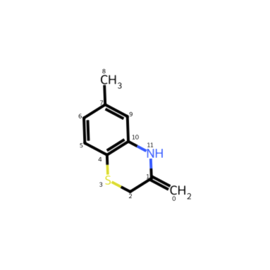 C=C1CSc2ccc(C)cc2N1